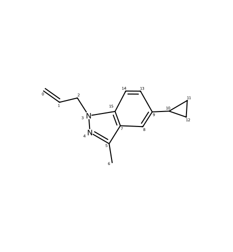 C=CCn1nc(C)c2cc(C3CC3)ccc21